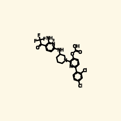 Nc1nc(NC2CCCN(c3nc(-c4ccc(Cl)cc4Cl)ccc3OC(=O)O)C2)ccc1C(=O)C(F)(F)F